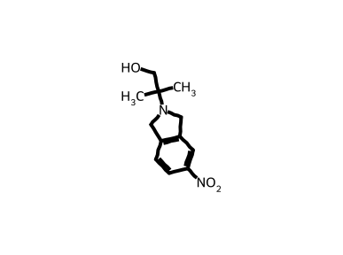 CC(C)(CO)N1Cc2ccc([N+](=O)[O-])cc2C1